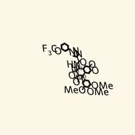 COc1cc([C@@H]2c3cc4c(cc3[C@@H](NC(=O)c3cn(-c5cccc(OC(F)(F)F)c5)nn3)[C@H]3COC(=O)[C@H]23)OCO4)cc(OC)c1OC